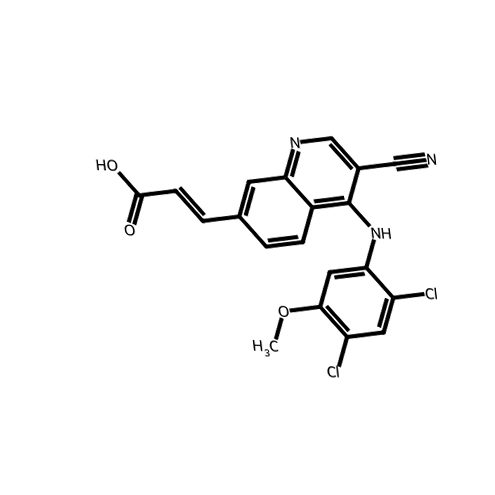 COc1cc(Nc2c(C#N)cnc3cc(C=CC(=O)O)ccc23)c(Cl)cc1Cl